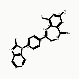 Cc1nc2ccncc2n1-c1ccc(C2=Nc3c(Cl)cc(Cl)cc3C(=O)NC2)cc1